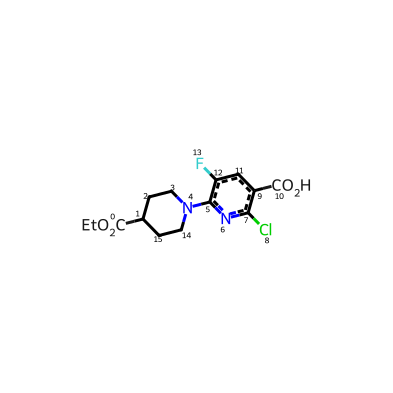 CCOC(=O)C1CCN(c2nc(Cl)c(C(=O)O)cc2F)CC1